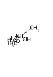 CCCCCCCCCCCCC(C)(N)c1cccc(C)c1C.Cl